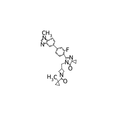 Cn1cnc2cc(-c3ccc(C4=NC5(CC5)C(=O)N4CC4CN(C(=O)C5(C)CC5)C4)c(F)c3)ccc21